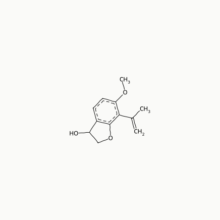 C=C(C)c1c(OC)ccc2c1OCC2O